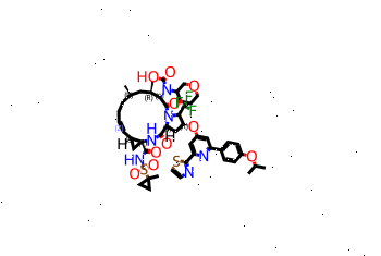 CC(C)Oc1ccc(-c2cc(O[C@@H]3C[C@H]4C(=O)N[C@]5(C(=O)NS(=O)(=O)C6(C)CC6)C[C@H]5/C=C\CC[C@@H](C)C[C@@H](C)[C@H](N(C(=O)O)C5CCCOC5)C(=O)N4C3C(F)(F)F)cc(-c3nccs3)n2)cc1